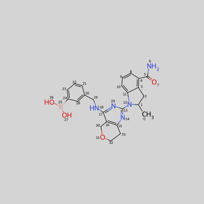 CC1Cc2c(C(N)=O)cccc2N1c1nc2c(c(NCc3cccc(B(O)O)c3)n1)COCC2